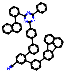 N#Cc1ccc(-c2cccc(-c3ccc(-c4nc(-c5ccccc5)nc(-c5ccccc5-c5cccc6ccccc56)n4)cc3)c2)c(-c2cccc(-c3ccc4c(c3)-c3cccc5cccc-4c35)c2)c1